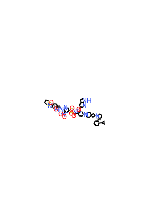 O=C(NS(=O)(=O)c1cnc(NC[C@@H]2CC[C@@H](N=S3(=O)CCCC3)CO2)c([N+](=O)[O-])c1)c1ccc(N2CCC3(CC2)CC(N2CCC[C@H]2c2ccccc2C2CC2)C3)cc1Oc1cnc2[nH]ccc2c1